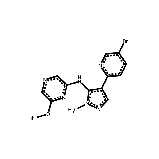 CC(C)Oc1cncc(Nc2c(-c3ccc(Br)cn3)cnn2C)n1